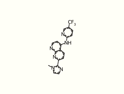 Cn1ccnc1-c1ccc2c(Nc3ccc(C(F)(F)F)cn3)ccnc2n1